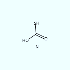 O=C(O)S.[N]